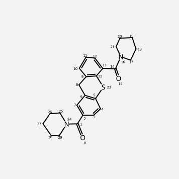 O=C(c1ccc2c(c1)Cc1cccc(C(=O)N3CCCCC3)c1S2)N1CCCCC1